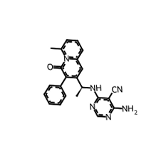 Cc1cccc2cc([C@H](C)Nc3ncnc(N)c3C#N)c(-c3ccccc3)c(=O)n12